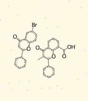 Cc1c(-c2ccccc2)oc2c(C(=O)O)cccc2c1=O.O=c1cc(-c2ccccc2)oc2ccc(Br)cc12